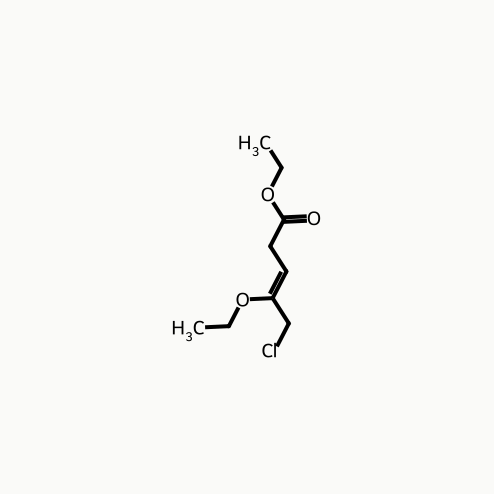 CCOC(=O)C/C=C(/CCl)OCC